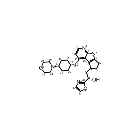 O[C@@H](CC1CCc2sc3nccc(O[C@H]4CC[C@H](N5CCOCC5)CC4)c3c21)c1ncco1